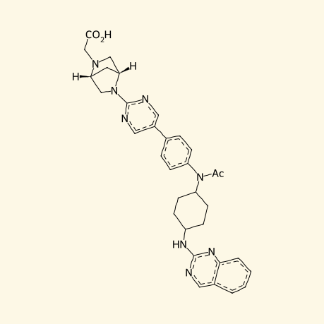 CC(=O)N(c1ccc(-c2cnc(N3C[C@H]4C[C@@H]3CN4CC(=O)O)nc2)cc1)C1CCC(Nc2ncc3ccccc3n2)CC1